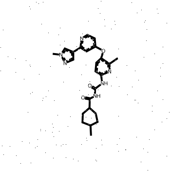 Cc1nc(NC(=O)NC(=O)C2CCC(C)CC2)ccc1Oc1ccnc(-c2cnn(C)c2)c1